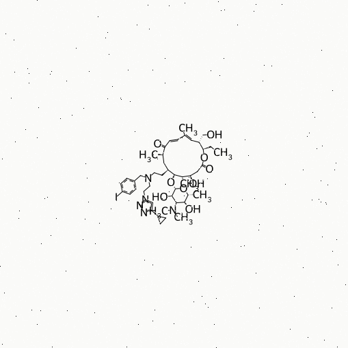 CC[C@H]1OC(=O)C[C@@H](O)[C@H](C)[C@@H](O[C@@H]2O[C@H](C)[C@@H](O)C(N(C)C)C2O)[C@@H](CCN(CCn2cc(C3CC3)nn2)Cc2ccc(I)cc2)C[C@@H](C)C(=O)/C=C/C(C)=C/[C@@H]1CO